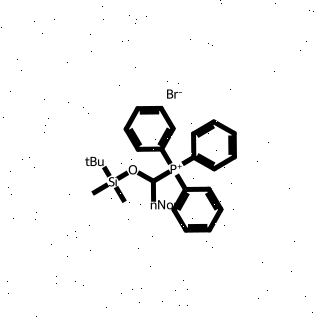 CCCCCCCCCC(O[Si](C)(C)C(C)(C)C)[P+](c1ccccc1)(c1ccccc1)c1ccccc1.[Br-]